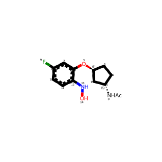 CC(=O)N[C@H]1CC[C@H](Oc2cc(F)ccc2NO)C1